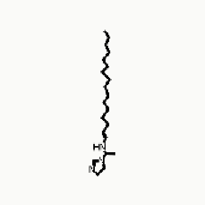 CCCCCCCCCCCCCCC=CNC(C)N1C=NCC1